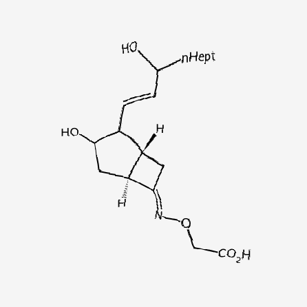 CCCCCCCC(O)C=CC1C(O)C[C@@H]2C(=NOCC(=O)O)C[C@@H]12